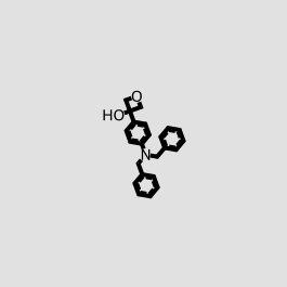 OC1(c2ccc(N(Cc3ccccc3)Cc3ccccc3)cc2)COC1